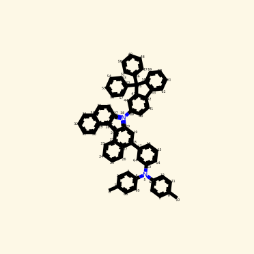 Cc1ccc(N(c2ccc(C)cc2)c2cccc(-c3cc4c(c5ccccc35)c3c5ccccc5ccc3n4-c3ccc4c(c3)C(c3ccccc3)(c3ccccc3)c3ccccc3-4)c2)cc1